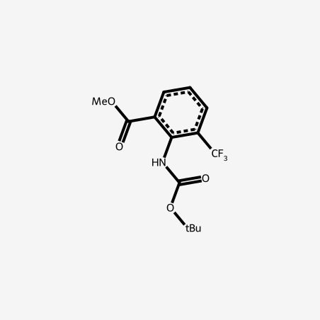 COC(=O)c1cccc(C(F)(F)F)c1NC(=O)OC(C)(C)C